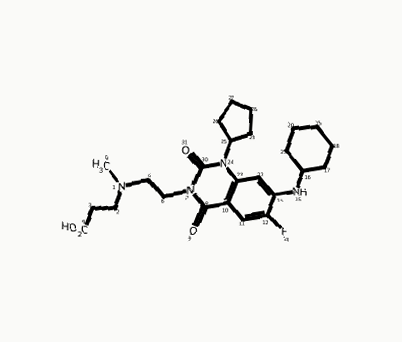 CN(CCC(=O)O)CCn1c(=O)c2cc(F)c(NC3CCCCC3)cc2n(C2CCCC2)c1=O